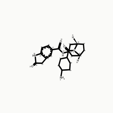 NC1CCC(C(=O)N2[C@@H]3CC[C@H]2CC(NC(=O)c2ccc4c(c2)CC(=O)N4)C3)CC1